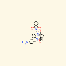 Nc1ccc(CN2C(=O)[C@H]3CCC[C@H]3N(C(=O)CN3C(=O)c4ccccc4C3=O)c3ccccc32)cc1